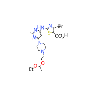 CCOC(C)OCCN1CCN(c2cc(Nc3nc(C(C)C)c(C(=O)O)s3)nc(C)n2)CC1